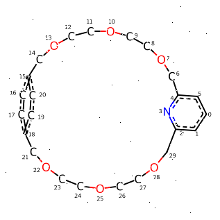 c1cc2nc(c1)COCCOCCOCc1ccc(cc1)COCCOCCOC2